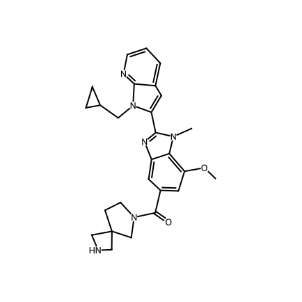 COc1cc(C(=O)N2CCC3(CNC3)C2)cc2nc(-c3cc4cccnc4n3CC3CC3)n(C)c12